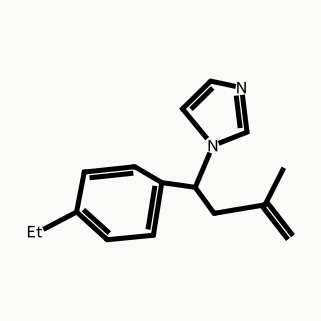 C=C(C)CC(c1ccc(CC)cc1)n1ccnc1